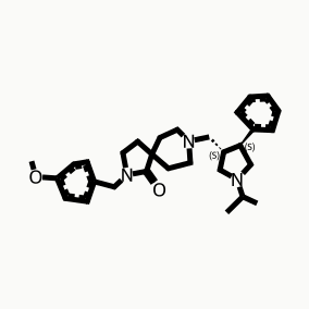 COc1ccc(CN2CCC3(CCN(C[C@H]4CN(C(C)C)C[C@@H]4c4ccccc4)CC3)C2=O)cc1